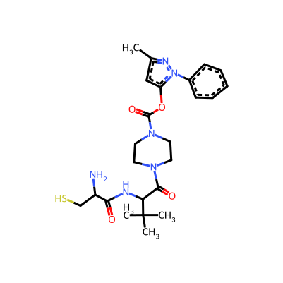 Cc1cc(OC(=O)N2CCN(C(=O)C(NC(=O)C(N)CS)C(C)(C)C)CC2)n(-c2ccccc2)n1